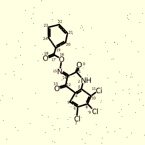 O=C1Nc2c(cc(Cl)c(Cl)c2Cl)C(=O)C1=NOC(=O)c1ccccc1